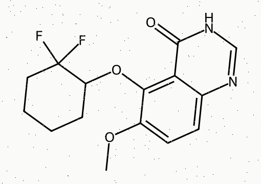 COc1ccc2nc[nH]c(=O)c2c1OC1CCCCC1(F)F